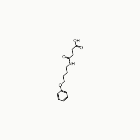 O=C(O)CCC(=O)NCCCCOc1ccccc1